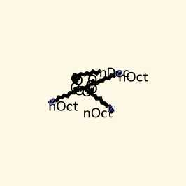 CCCCCCCC/C=C\CCCCCCCC(=O)OCC(COC(=O)CCCCCCC/C=C\CCCCCCCC)OC(=O)CCCCCCC/C=C\CCCCCCCC.CCCCCCCCCCCCCCCCCc1ccco1